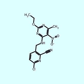 CCOc1nc(C)c([N+](=O)[O-])c(NCc2ccc(Cl)nc2C#N)n1